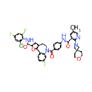 Cc1cnc(N2CC3(CCOCC3)C2)c(C(=O)Nc2ccc(C(=O)N3CCc4cc(C(=O)Nc5c(F)cc(F)cc5Cl)oc4-c4ccc(F)cc43)cc2)c1